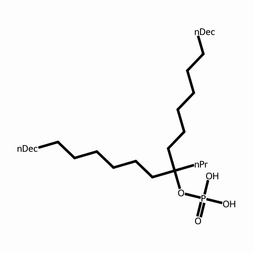 CCCCCCCCCCCCCCCCC(CCC)(CCCCCCCCCCCCCCCC)OP(=O)(O)O